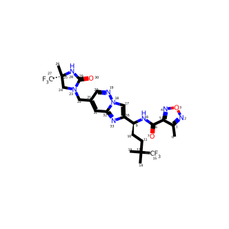 Cc1nonc1C(=O)N[C@@H](CCC(C)(C)C(F)(F)F)c1cn2ncc(CN3C[C@](C)(C(F)(F)F)NC3=O)cc2n1